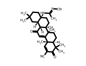 C/C(=N\C#N)N[C@]12CCC(C)(C)C[C@H]1[C@H]1C(=O)C=C3[C@@]4(C)C=C(C#N)C(=O)C(C)(C)[C@@H]4CC[C@@]3(C)[C@]1(C)CC2